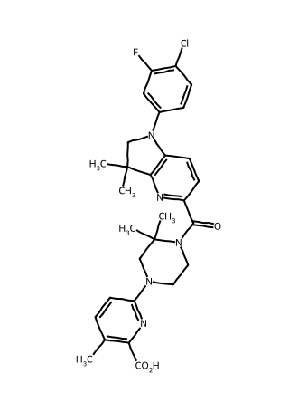 Cc1ccc(N2CCN(C(=O)c3ccc4c(n3)C(C)(C)CN4c3ccc(Cl)c(F)c3)C(C)(C)C2)nc1C(=O)O